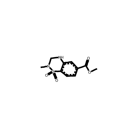 COC(=O)c1ccc2c(c1)NCN(C)S2(=O)=O